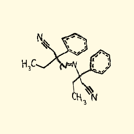 CCC(C#N)(N=NC(C#N)(CC)c1ccccc1)c1ccccc1